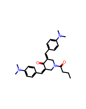 CCCC(=O)N1CC(=Cc2ccc(N(C)C)cc2)C(=O)C(=Cc2ccc(N(C)C)cc2)C1